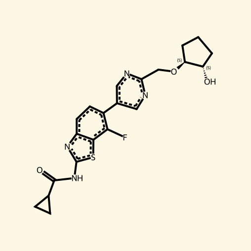 O=C(Nc1nc2ccc(-c3cnc(CO[C@H]4CCC[C@@H]4O)nc3)c(F)c2s1)C1CC1